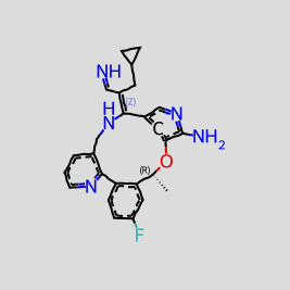 C[C@H]1Oc2cc(cnc2N)/C(=C(/C=N)CC2CC2)NCc2cccnc2-c2ccc(F)cc21